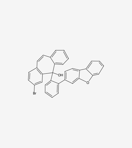 OC1(c2ccccc2-c2ccc3c(c2)oc2ccccc23)c2ccccc2C=Cc2ccc(Br)cc21